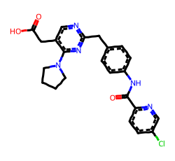 O=C(O)Cc1cnc(Cc2ccc(NC(=O)c3ccc(Cl)cn3)cc2)nc1N1CCCC1